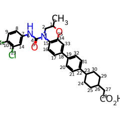 CC1CN(C(=O)Nc2ccc(F)c(Cl)c2)c2ccc(-c3ccc(C4CCC(CC(=O)O)CC4)cc3)cc2O1